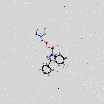 CCN(CC)CCOC(=O)c1[nH]c(-c2ccccc2)c2cc(Cl)ccc12